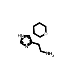 C1CCOCC1.NCCc1c[nH]cn1